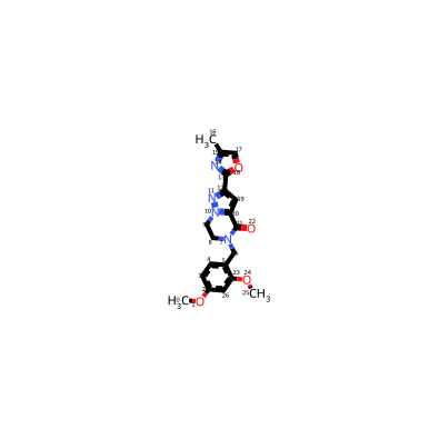 COc1ccc(CN2CCn3nc(-c4nc(C)co4)cc3C2=O)c(OC)c1